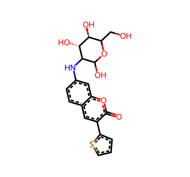 O=c1oc2cc(NC3C(O)OC(CO)[C@H](O)[C@H]3O)ccc2cc1-c1cccs1